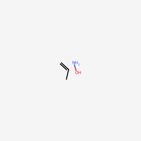 C=CC.NO